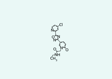 CCNC(=O)Cn1cc(-c2noc(-c3cc(Cl)ccn3)n2)ccc1=O